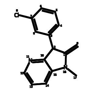 C=C1C(c2cccc(Cl)c2)c2ncccc2N1C